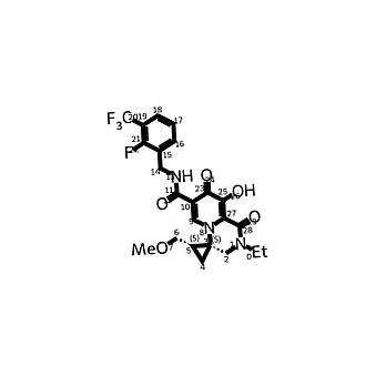 CCN1C[C@@]2(C[C@@H]2COC)n2cc(C(=O)NCc3cccc(C(F)(F)F)c3F)c(=O)c(O)c2C1=O